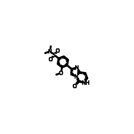 COc1cc(S(=O)(=O)N(C)C)ccc1-c1cn2c(=O)[nH]ccc2n1